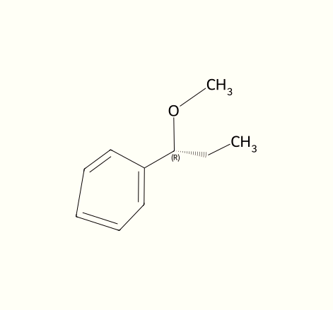 CC[C@@H](OC)c1ccccc1